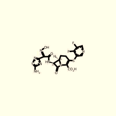 Nc1nc(/C(=N/O)C(=O)N[C@@H]2C(=O)N3C(C(=O)O)=C(Sc4cncc(F)c4F)CC[C@H]23)ns1